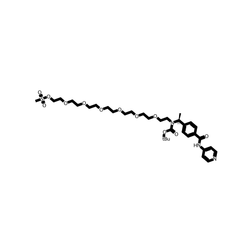 C[C@@H](c1ccc(C(=O)Nc2ccncc2)cc1)N(CCOCCOCCOCCOCCOCCOCCOS(C)(=O)=O)C(=O)OC(C)(C)C